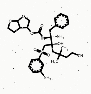 CC(C)(CCC#N)C[C@](O)(CS(=O)(=O)c1cccc(N)c1)[C@](N)(Cc1ccccc1)NC(=O)OC1COC2OCCC12